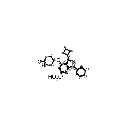 O=C1CC[C@H](Oc2cc(C(=O)O)nc3c2c(C2CCC2)nn3-c2ccccc2)CN1